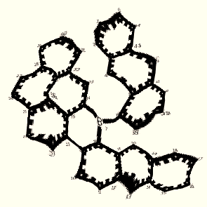 c1ccc2cc3c(B4c5c(ccc6cc7ccccc7cc56)-c5ccc6ccc7cccc8cc4c5c6c78)cccc3cc2c1